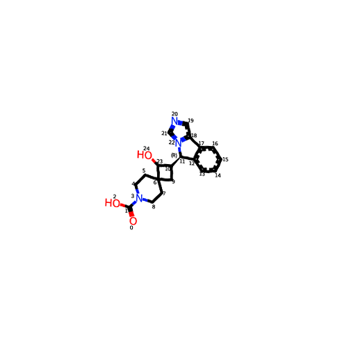 O=C(O)N1CCC2(CC1)CC([C@@H]1c3ccccc3-c3cncn31)C2O